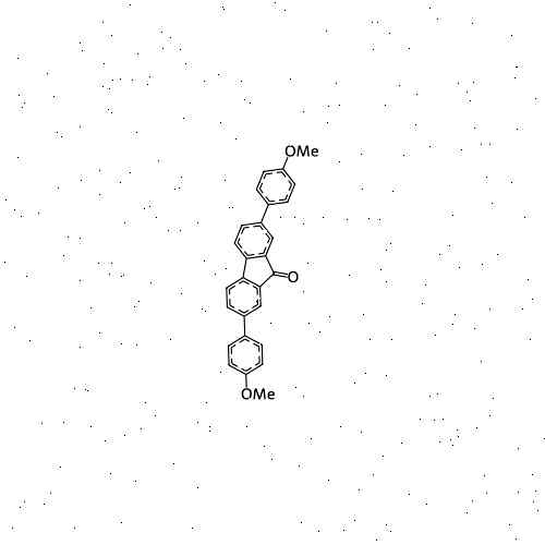 COc1ccc(-c2ccc3c(c2)C(=O)c2cc(-c4ccc(OC)cc4)ccc2-3)cc1